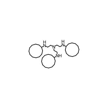 C1CCCCCC(NCCN(CCNC2CCCCCCCCCCC2)CCNC2CCCCCCCCCCC2)CCCCC1